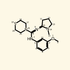 COc1cccc(NC(=[N+]=C2CCCN2C)N2CCSCC2)c1